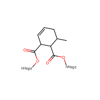 CCCCCCCOC(=O)C1C=CCC(C)C1C(=O)OCCCCCCC